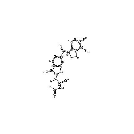 O=C1CCC(N2Cc3cc(C(=O)N4CCc5c4ccc(F)c5F)ccc3C2=O)C(=O)N1